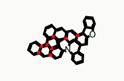 C1=c2cccc(-c3ccccc3)c2=C(c2ccccc2N(c2ccccc2-c2ccc(-c3ccccc3)cc2)c2ccccc2-c2ccc3c(c2)oc2ccccc23)CC1